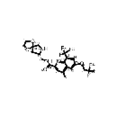 Cc1cc(C(=O)NC[C@@H]2CC3(CN2)OCCO3)nc2c(C(F)(F)F)cc(OCC(F)(F)F)cc12